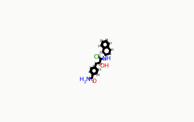 NC(=O)c1ccc(CC(O)C(Cl)NC2CCc3ccccc3C2)cc1